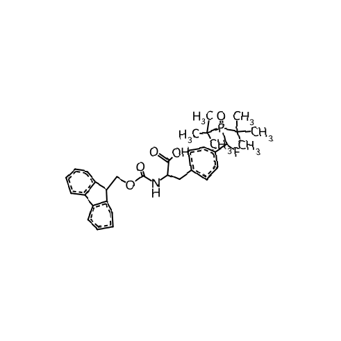 CC(C)(C)P(=O)(C(F)c1ccc(CC(NC(=O)OCC2c3ccccc3-c3ccccc32)C(=O)O)cc1)C(C)(C)C